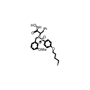 COc1cccc(CN(C(CC(C)C)C(=O)NO)S(=O)(=O)c2ccc(OCCCCF)cc2)c1